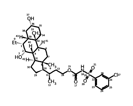 CC[C@H]1[C@@H](O)[C@@H]2[C@H](CC[C@]3(C)[C@@H]([C@H](C)CCOC(=O)NS(=O)(=O)c4cccc(Cl)c4)CC[C@@H]23)[C@@]2(C)CC[C@@H](O)C[C@@H]12